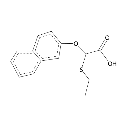 CCSC(Oc1ccc2ccccc2c1)C(=O)O